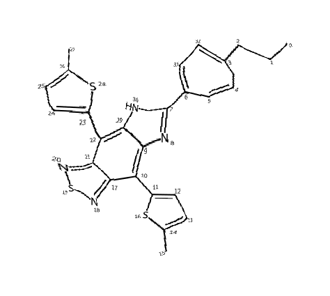 CCCc1ccc(-c2nc3c(-c4ccc(C)s4)c4nsnc4c(-c4ccc(C)s4)c3[nH]2)cc1